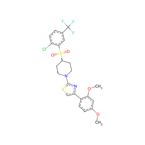 COc1ccc(-c2csc(N3CCC(S(=O)(=O)c4cc(C(F)(F)F)ccc4Cl)CC3)n2)c(OC)c1